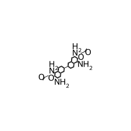 Nc1cc2cc(-c3ccc4c(N)c(OCC5CO5)c(N)cc4c3)ccc2c(N)c1OCC1CO1